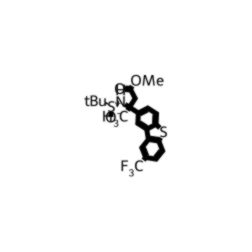 COC(=O)CC(C)(N[S@+]([O-])C(C)(C)C)c1ccc2sc3ccc(C(F)(F)F)cc3c2c1